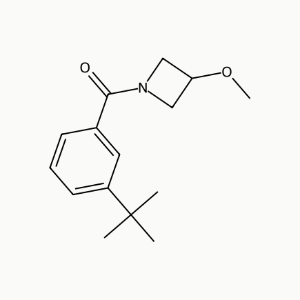 COC1CN(C(=O)c2cccc(C(C)(C)C)c2)C1